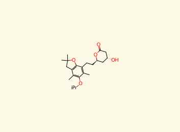 Cc1c(CC[C@@H]2C[C@@H](O)CC(=O)O2)c2c(c(C)c1OC(C)C)CC(C)(C)O2